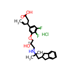 C=CC(CC(=O)O)c1cc(F)c(F)c(OC[C@@H](O)CNC(C)(C)CC2Cc3ccccc3C2)c1.Cl